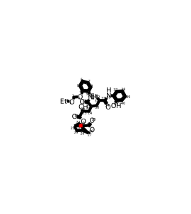 CCOCOc1ccccc1NC(=O)C(CC(C)C(=O)OC1C2CC3C(=O)OC1C3C2)CC(CC)C(=O)Nc1ccccc1O